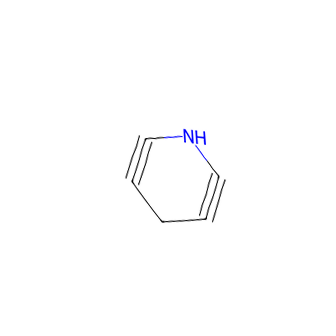 C1#CNC#CC1